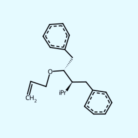 C=CCO[C@H](Cc1ccccc1)[C@@H](Cc1ccccc1)C(C)C